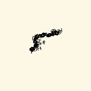 C[C@@H]1CN(CC2CCN(c3ccc4c(c3)C(=O)N([C@H]3CCC(=O)NC3=O)C4)CC2)C[C@H](C)N1C(=O)N1CCN2c3cc(-c4cccc(F)c4O)nnc3NCC2(C(F)(F)F)C1